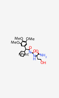 CCCCCN(C(=O)N[C@H](CCO)C(N)=O)C(=O)C(c1cc(OC)c(OC)c(OC)c1)C1CCCCC1